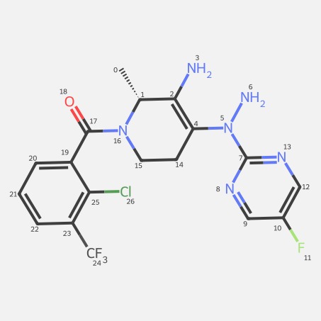 C[C@@H]1C(N)=C(N(N)c2ncc(F)cn2)CCN1C(=O)c1cccc(C(F)(F)F)c1Cl